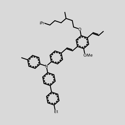 CC=Cc1cc(OC)c(C=Cc2ccc(N(c3ccc(C)cc3)c3ccc(-c4ccc(CC)cc4)cc3)cc2)cc1OCCC(C)CCCC(C)C